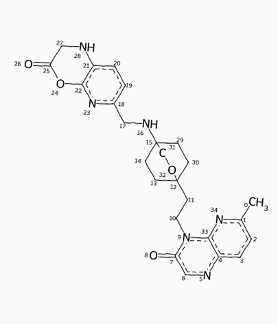 Cc1ccc2ncc(=O)n(CCC34CCC(NCc5ccc6c(n5)OC(=O)CN6)(CC3)CO4)c2n1